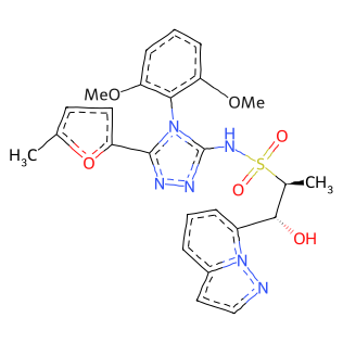 COc1cccc(OC)c1-n1c(NS(=O)(=O)[C@@H](C)[C@H](O)c2cccc3ccnn23)nnc1-c1ccc(C)o1